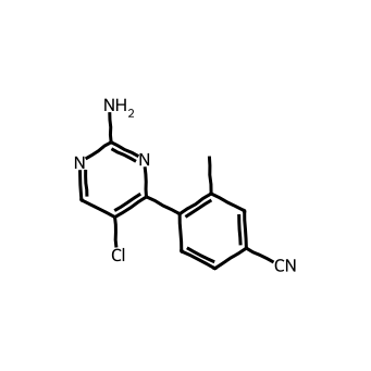 Cc1cc(C#N)ccc1-c1nc(N)ncc1Cl